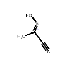 [CH2]/C(C#N)=N\O